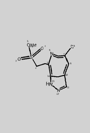 COS(=O)(=O)Cc1nc(Cl)cc2cn[nH]c12